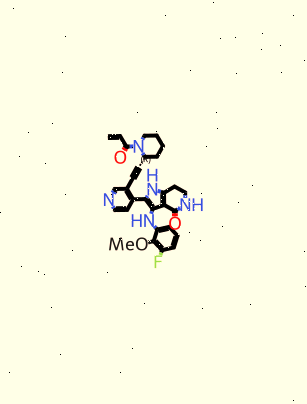 C=CC(=O)N1CCCC[C@@H]1C#Cc1cnccc1-c1[nH]c2c(c1Nc1cccc(F)c1OC)C(=O)NCC2